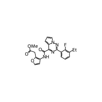 CCc1cccc(-c2nc(C(=O)Nc3ccoc3CC(=O)OC)c3cccn3n2)c1F